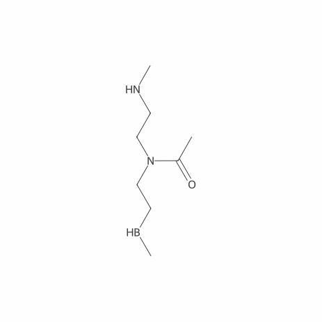 CBCCN(CCNC)C(C)=O